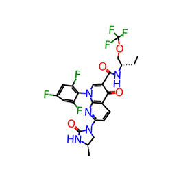 CC[C@@H](COC(F)(F)F)NC(=O)c1cn(-c2c(F)cc(F)cc2F)c2nc(N3C[C@@H](C)NC3=O)ccc2c1=O